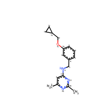 Cc1cc(NCc2cc[c]c(OCC3CC3)c2)nc(C)n1